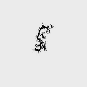 COC(=O)C1CC1CN1CCN(c2nn(C)c3ccsc23)CC1